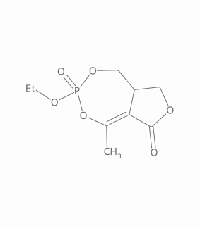 CCOP1(=O)OCC2COC(=O)C2=C(C)O1